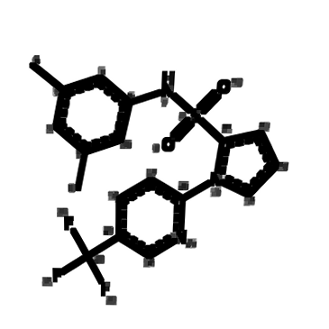 Cc1cc(C)cc(NS(=O)(=O)c2cccn2-c2ccc(C(F)(F)F)cn2)c1